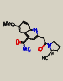 COc1ccc2nc(CC(=O)N3CCC[C@H]3C#N)cc(C(N)=O)c2c1